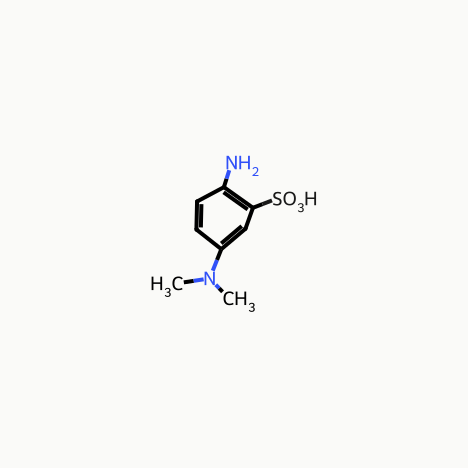 CN(C)c1ccc(N)c(S(=O)(=O)O)c1